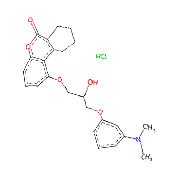 CN(C)c1cccc(OCC(O)COc2cccc3oc(=O)c4c(c23)CCCC4)c1.Cl